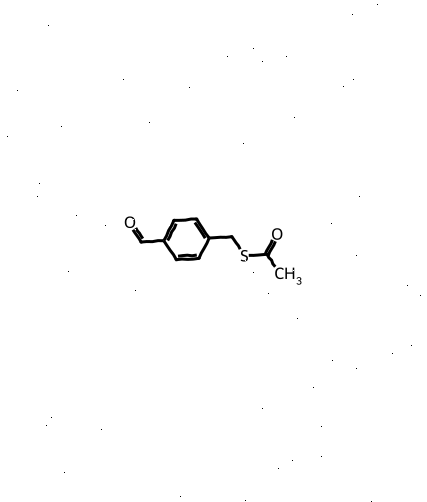 CC(=O)SCc1ccc(C=O)cc1